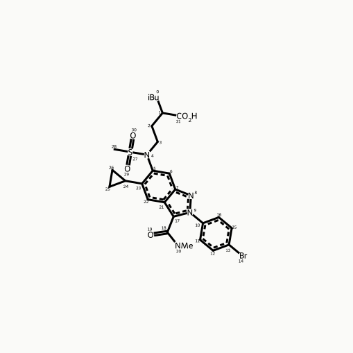 CCC(C)C(CCN(c1cc2nn(-c3ccc(Br)cc3)c(C(=O)NC)c2cc1C1CC1)S(C)(=O)=O)C(=O)O